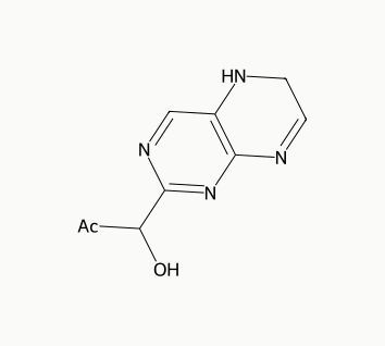 CC(=O)C(O)c1ncc2c(n1)N=CCN2